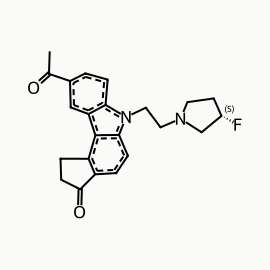 CC(=O)c1ccc2c(c1)c1c3c(ccc1n2CCN1CC[C@H](F)C1)C(=O)CC3